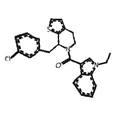 CCn1cc(C(=O)N2CCc3ccsc3C2Cc2cccc(Cl)c2)c2ccccc21